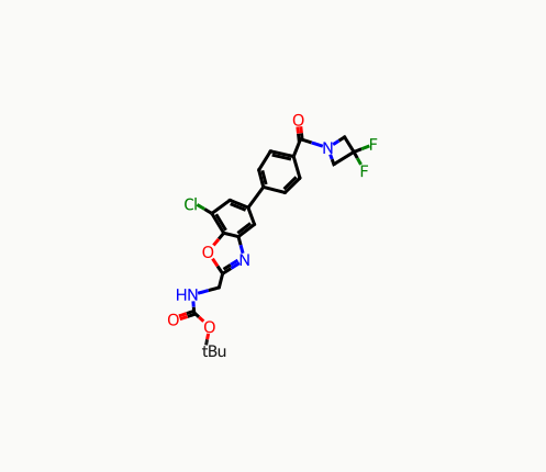 CC(C)(C)OC(=O)NCc1nc2cc(-c3ccc(C(=O)N4CC(F)(F)C4)cc3)cc(Cl)c2o1